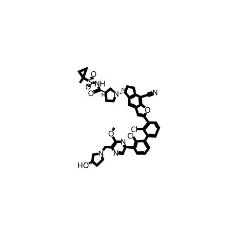 COc1nc(-c2cccc(-c3cccc(-c4cc5cc6c(c(C#N)c5o4)CC[C@H]6N4CC[C@@H](C(=O)NS(=O)(=O)C5(C)CC5)C4)c3Cl)c2Cl)cnc1CN1CC[C@@H](O)C1